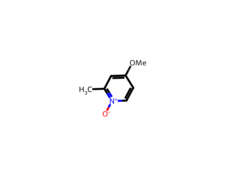 COc1cc[n+]([O-])c(C)c1